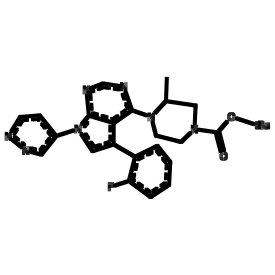 CC1CN(C(=O)OC(C)(C)C)CCN1c1ncnc2c1c(-c1ccccc1F)cn2-c1ccnnc1